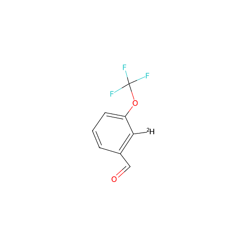 [2H]c1c(C=O)cccc1OC(F)(F)F